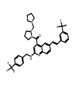 O=C(c1cc(NCc2ccc(C(F)(F)F)cc2)nc2ccc(/C=C/c3cccc(C(F)(F)F)c3)cc12)N1CCC[C@H]1CN1CCCC1